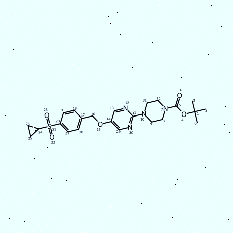 CC(C)(C)OC(=O)N1CCN(c2ncc(OCc3ccc(S(=O)(=O)C4CC4)cc3)cn2)CC1